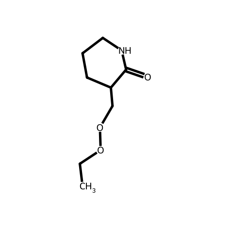 CCOOCC1CCCNC1=O